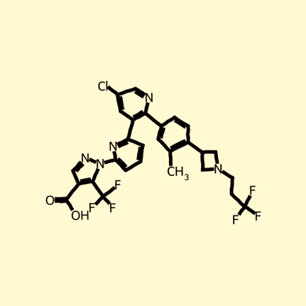 Cc1cc(-c2ncc(Cl)cc2-c2cccc(-n3ncc(C(=O)O)c3C(F)(F)F)n2)ccc1C1CN(CCC(F)(F)F)C1